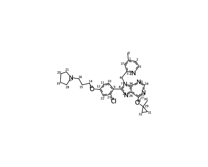 Cc1ccnc(Cn2c(-c3ccc(OCCCN4CCCC4)cc3Cl)nc3c(OC4(C)CC4)ncnc32)c1